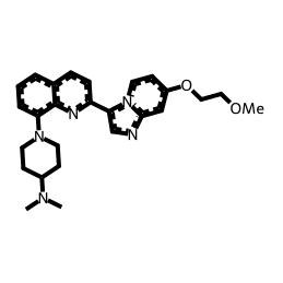 COCCOc1ccn2c(-c3ccc4cccc(N5CCC(N(C)C)CC5)c4n3)cnc2c1